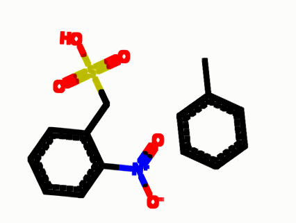 Cc1ccccc1.O=[N+]([O-])c1ccccc1CS(=O)(=O)O